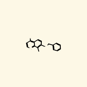 Cc1c(SCc2ccccc2)ccc2c(Cl)ccnc12